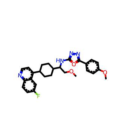 COCC(Nc1nnc(-c2ccc(OC)cc2)o1)C1CCC(c2ccnc3ccc(F)cc23)CC1